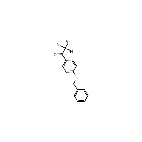 [2H]C([2H])([2H])C(=O)c1ccc(SCc2ccccc2)cc1